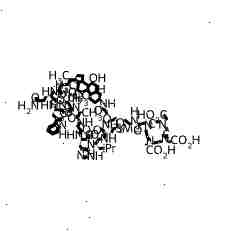 CSCC[C@H](NC(=O)[C@H](CC(C)C)NC(=O)[C@H](Cc1c[nH]cn1)NC(=O)CNC(=O)[C@H](C)NC(=O)[C@H](C)NC(=O)[C@H](Cc1c[nH]c2ccccc12)NC(=O)[C@H](CCC(N)=O)NC(=O)CC[C@@H](C)[C@H]1CCC2C3C(C[C@H](O)[C@@]21C)[C@@]1(C)CC[C@H](NC(=O)COCCOCCNC(=O)CN2CCN(CC(=O)O)CCN(CC(=O)O)CCN(CC(=O)O)CC2)C[C@H]1C[C@H]3O)C(N)=O